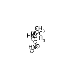 Cc1cc(C)cc(S(=O)(=O)Nc2ccc3cc(C(=O)NCc4ccccc4)ccc3c2)c1